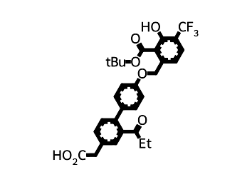 CCC(=O)c1cc(CC(=O)O)ccc1-c1ccc(OCc2ccc(C(F)(F)F)c(O)c2C(=O)OC(C)(C)C)cc1